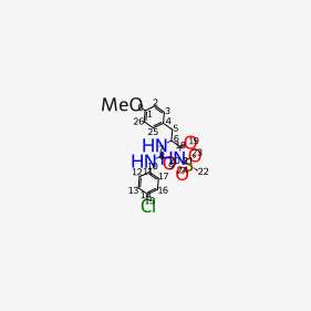 COc1ccc(CC(NC(=O)Nc2ccc(Cl)cc2)C(=O)NS(C)(=O)=O)cc1